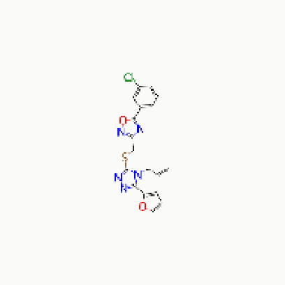 C=CCn1c(SCc2noc(-c3cccc(Cl)c3)n2)nnc1-c1ccco1